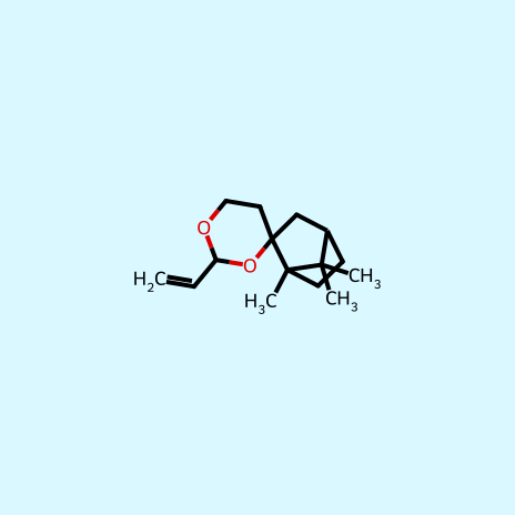 C=CC1OCCC2(CC3CCC2(C)C3(C)C)O1